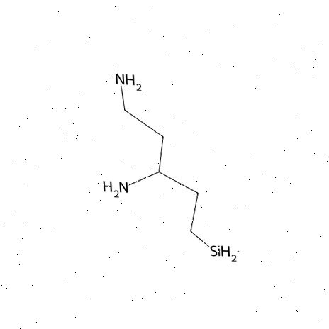 NCCC(N)CC[SiH2]